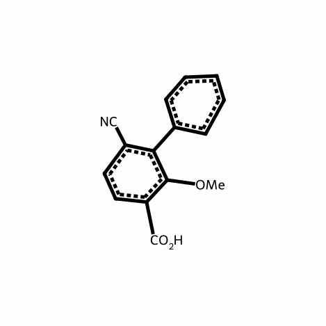 COc1c(C(=O)O)ccc(C#N)c1-c1ccccc1